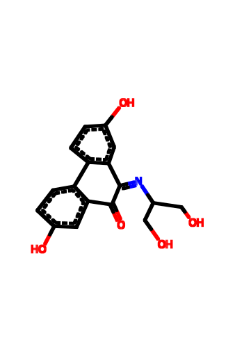 O=C1C(=NC(CO)CO)c2cc(O)ccc2-c2ccc(O)cc21